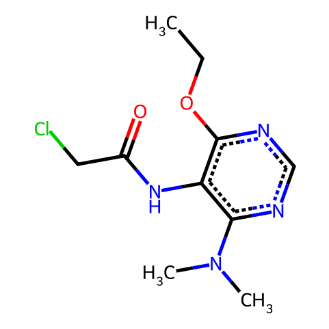 CCOc1ncnc(N(C)C)c1NC(=O)CCl